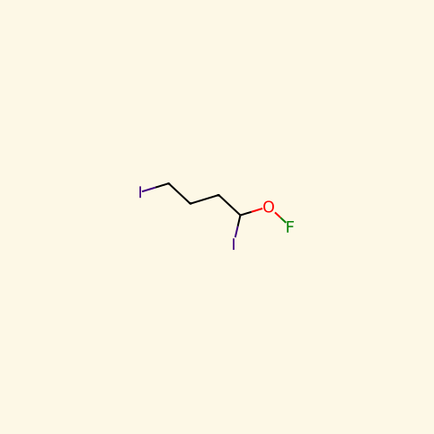 FOC(I)CCCI